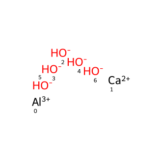 [Al+3].[Ca+2].[OH-].[OH-].[OH-].[OH-].[OH-]